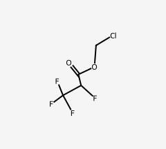 O=C(OCCl)C(F)C(F)(F)F